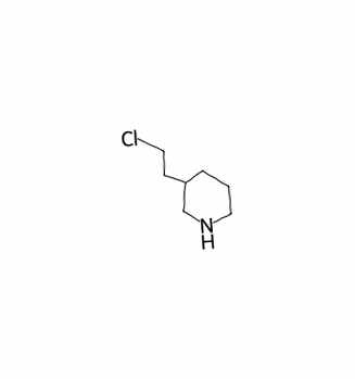 ClCCC1CCCNC1